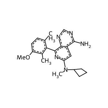 COc1ccc(C)c(-c2nc(N(C)C3CCC3)cc3c(N)ncnc23)c1C